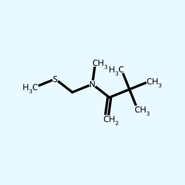 C=C(N(C)CSC)C(C)(C)C